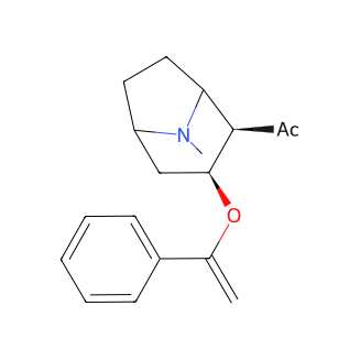 C=C(O[C@H]1CC2CCC([C@H]1C(C)=O)N2C)c1ccccc1